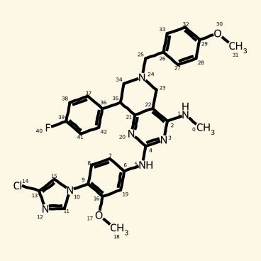 CNc1nc(Nc2ccc(-n3cnc(Cl)c3)c(OC)c2)nc2c1CN(Cc1ccc(OC)cc1)CC2c1ccc(F)cc1